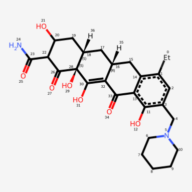 CCc1cc(CN2CCCCC2)c(O)c2c1C[C@H]1C[C@H]3CC(O)C(C(N)=O)C(=O)[C@@]3(O)C(O)=C1C2=O